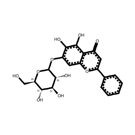 O=c1cc(-c2ccccc2)oc2cc(OC3O[C@H](CO)[C@@H](O)[C@H](O)[C@H]3O)c(O)c(O)c12